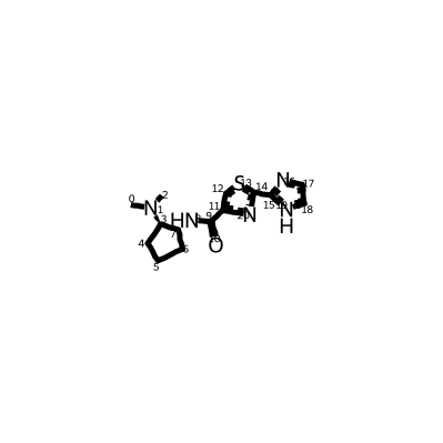 CN(C)[C@@H]1CCC[C@H]1NC(=O)c1csc(-c2ncc[nH]2)n1